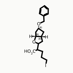 O=C(O)C(CCCI)C1C[C@H]2C[C@@H](OCc3ccccc3)C[C@H]2O1